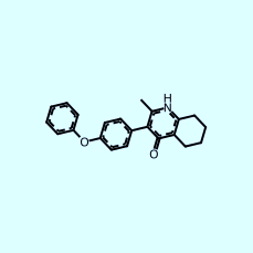 Cc1[nH]c2c(c(=O)c1-c1ccc(Oc3ccccc3)cc1)CCCC2